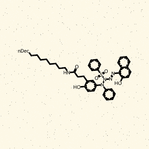 CCCCCCCCCCCCCCCCCCNC(=O)CCc1cc(N(c2ccccc2)N(N=Nc2c(O)ccc3ccccc23)S(=O)(=O)c2ccccc2)ccc1O